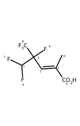 C/C(=C\C(F)(C(F)F)C(F)(F)F)C(=O)O